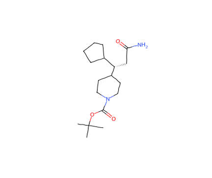 CC(C)(C)OC(=O)N1CCC([C@@H](CC(N)=O)C2CCCC2)CC1